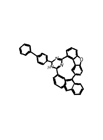 c1ccc(C2=NC(c3cccc4oc5ccc(-c6cccc7ccccc67)cc5c34)=NC(c3ccc(-c4ccccc4)cc3)N2)cc1